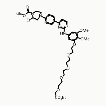 CCOC(=O)COCCOCCOCCOCCOc1cc(Nc2nccc(-c3ccc(N4CCN(C(=O)OC(C)(C)C)C(CC)C4)nc3)n2)cc(OC)c1OC